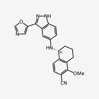 COc1c(C#N)ccc2c1CCC[C@H]2Nc1ccc2[nH]nc(-c3cnco3)c2c1